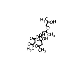 CC(=O)CC(=O)O.CC(=O)CC(=O)O.CC(O)COC(C)CO